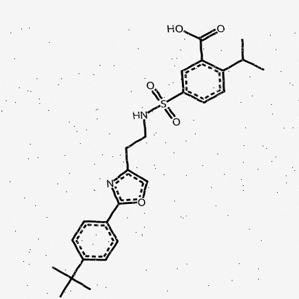 CC(C)c1ccc(S(=O)(=O)NCCc2coc(-c3ccc(C(C)(C)C)cc3)n2)cc1C(=O)O